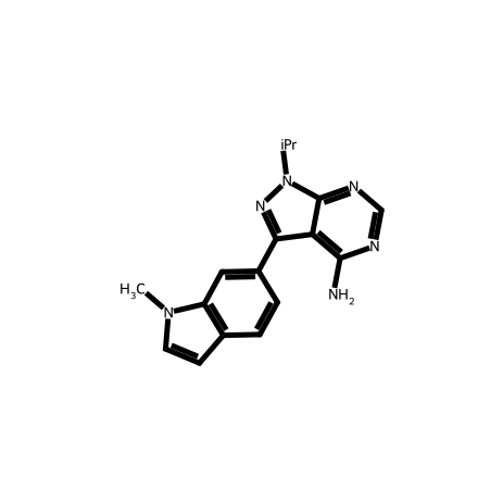 CC(C)n1nc(-c2ccc3ccn(C)c3c2)c2c(N)ncnc21